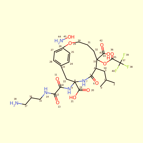 CC(C)CC1C(=O)NC(NC(=O)C(=O)NCCCN)(C(=O)O)Cc2ccc(cc2)OCCCC1(OC(=O)C(F)(F)F)C(=O)O.NO